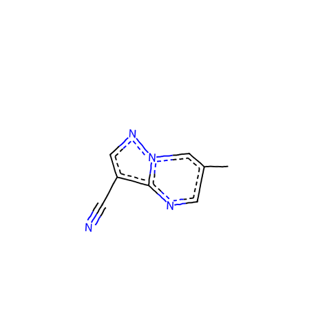 Cc1cnc2c(C#N)cnn2c1